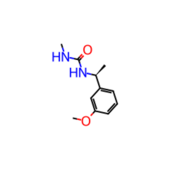 CNC(=O)N[C@@H](C)c1cccc(OC)c1